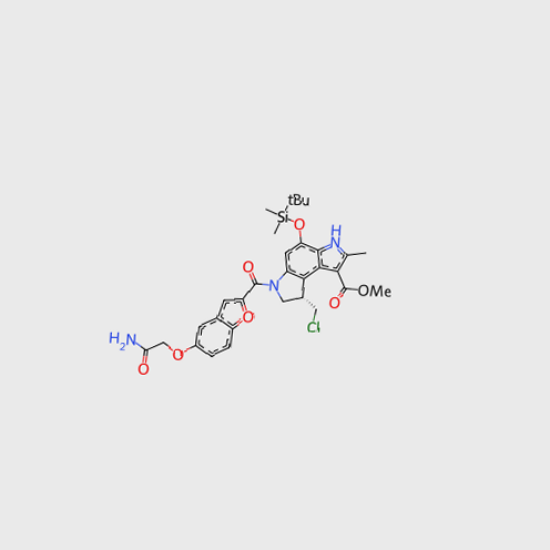 COC(=O)c1c(C)[nH]c2c(O[Si](C)(C)C(C)(C)C)cc3c(c12)[C@H](CCl)CN3C(=O)c1cc2cc(OCC(N)=O)ccc2o1